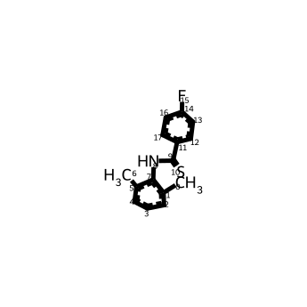 Cc1cccc(C)c1NC(=S)c1ccc(F)cc1